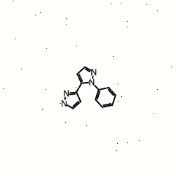 C1=CC(c2ccnn2-c2ccccc2)=N[N]1